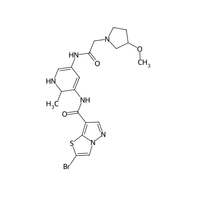 COC1CCN(CC(=O)NC2=CNC(C)C(NC(=O)c3cnn4cc(Br)sc34)=C2)C1